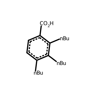 CCCCc1ccc(C(=O)O)c(CCCC)c1CCCC